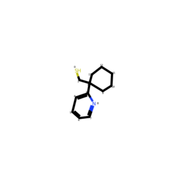 SCC1(c2ccccn2)CCCCC1